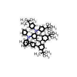 CC(C)(C)c1ccc(-c2cc(C(C)(C)C)ccc2C2Cc3cc(N(c4ccccc4)c4ccccc4)cc4c3B(c3cc(C(C)(C)C)ccc32)c2cc(C(C)(C)C)ccc2N4c2ccc(C(C)(C)C)cc2)cc1